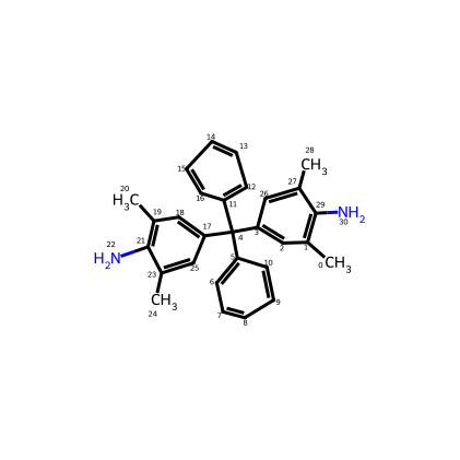 Cc1cc(C(c2ccccc2)(c2ccccc2)c2cc(C)c(N)c(C)c2)cc(C)c1N